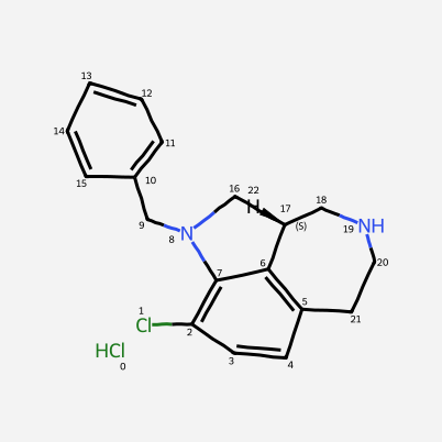 Cl.Clc1ccc2c3c1N(Cc1ccccc1)C[C@@H]3CNCC2